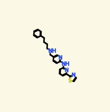 c1ccc(CCCCNCc2ccc(Nc3cccc(-c4nccs4)n3)nc2)cc1